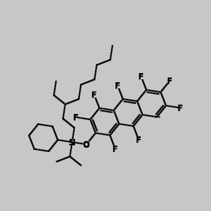 CCCCCCC(CC)CC[Si](Oc1c(F)c(F)c2c(F)c3c(F)c(F)c(F)[c]c3c(F)c2c1F)(C(C)C)C1CCCCC1